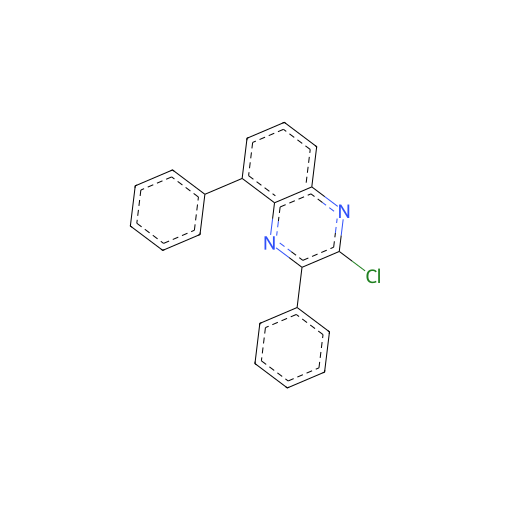 Clc1nc2cccc(-c3ccccc3)c2nc1-c1ccccc1